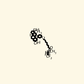 CN(CC(F)(F)C(F)(F)C(F)(F)F)C(=O)CCCCCCCOc1ccc([C@H]2C[C@]3(C)[C@@H](O)CC[C@H]3[C@@H]3CCc4cc(O)ccc4[C@H]32)cc1